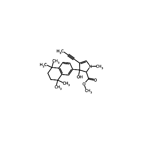 CC#CC1=CN(C)C(C(=O)OC)C1(O)c1ccc2c(c1)C(C)(C)CCC2(C)C